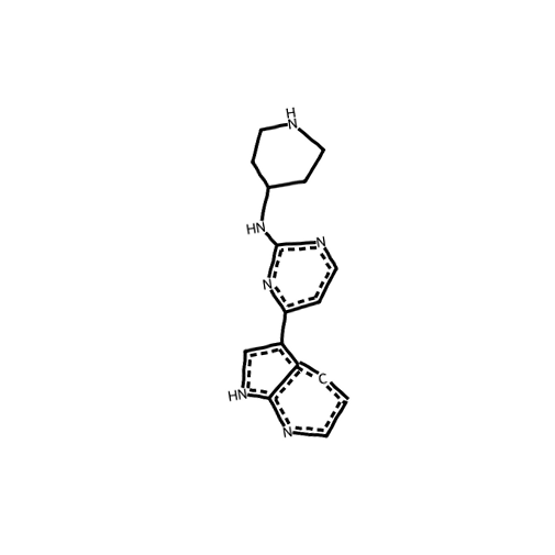 c1cnc2[nH]cc(-c3ccnc(NC4CCNCC4)n3)c2c1